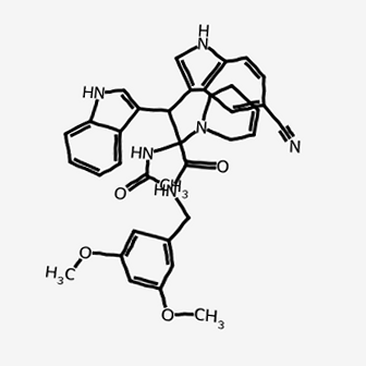 COc1cc(CNC(=O)C(NC(C)=O)(C(c2c[nH]c3ccccc23)c2c[nH]c3ccc(C#N)cc23)N2CC=CCC2)cc(OC)c1